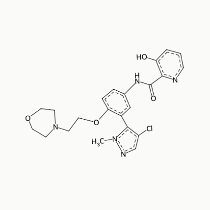 Cn1ncc(Cl)c1-c1cc(NC(=O)c2ncccc2O)ccc1OCCN1CCOCC1